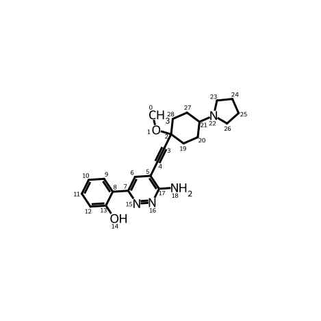 COC1(C#Cc2cc(-c3ccccc3O)nnc2N)CCC(N2CCCC2)CC1